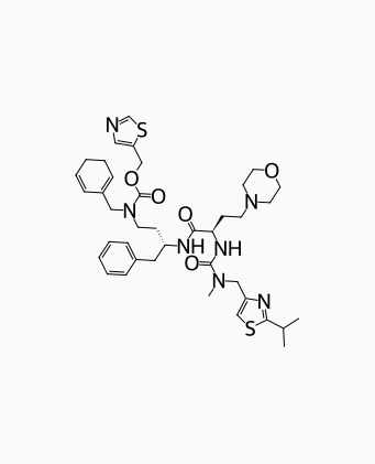 CC(C)c1nc(CN(C)C(=O)N[C@H](CCN2CCOCC2)C(=O)N[C@@H](CCN(CC2=CCCC=C2)C(=O)OCc2cncs2)Cc2ccccc2)cs1